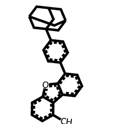 Cc1cccc2oc3c(-c4ccc(C56CC7CC(CC(C7)C5)C6)cc4)cccc3c12